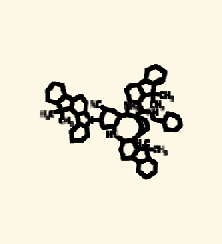 CC1(C)C2=CCCCC2C2CCCC(C(NCC3CCCCC3)C34CCC(C3)C3C(CCC5C6CCCCC6C(C)(C)C53)NC3CC(N5C6CCCCC6C6C5CCC5C7CCCCC7C(C)(C)C56)C(C#N)CC3C4N)C21